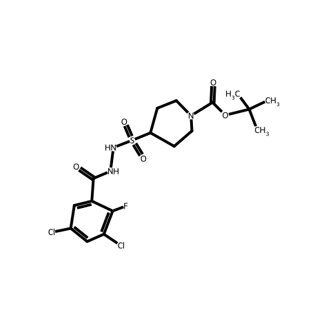 CC(C)(C)OC(=O)N1CCC(S(=O)(=O)NNC(=O)c2cc(Cl)cc(Cl)c2F)CC1